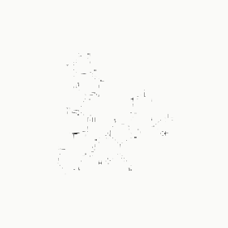 CC(C)(O)c1cnnn1C1CC(C(N)=O)N(C(=O)[C@@H](CC2CCCCC2)NC(=O)c2ccc3occc3c2)C1